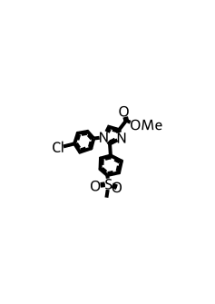 COC(=O)c1cn(-c2ccc(Cl)cc2)c(-c2ccc(S(C)(=O)=O)cc2)n1